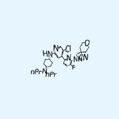 CCCN(CCC)[C@H]1CC[C@H](Nc2cc(-c3ccc(F)c(NCC4(C#N)CCOCC4)n3)c(Cl)cn2)CC1